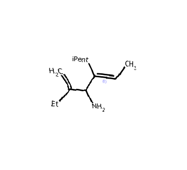 C=C(CC)C(N)/C(=C/C)C(C)CCC